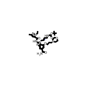 CCn1nc(C)cc1C(=O)Nc1nc2cc(C(N)=O)cc(OCCCN3CCOCC3)c2n1C/C=C/CNC(=O)OC(C)(C)C